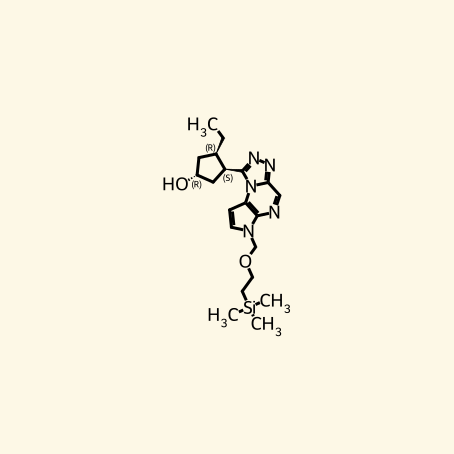 CC[C@@H]1C[C@@H](O)C[C@@H]1c1nnc2cnc3c(ccn3COCC[Si](C)(C)C)n12